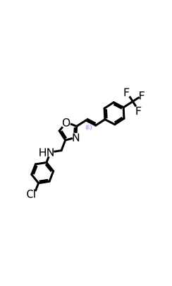 FC(F)(F)c1ccc(/C=C/c2nc(CNc3ccc(Cl)cc3)co2)cc1